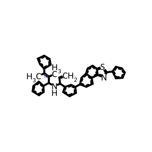 C=CC(NC(/C(C)=C(\C)c1ccccc1)c1ccccc1)c1cccc(-c2ccc3c(ccc4sc(-c5ccccc5)nc43)c2)c1